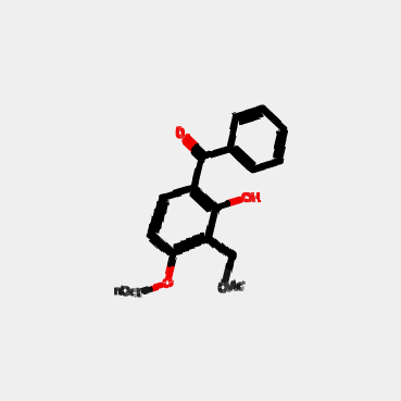 CCCCCCCCOc1ccc(C(=O)c2ccccc2)c(O)c1COC(C)=O